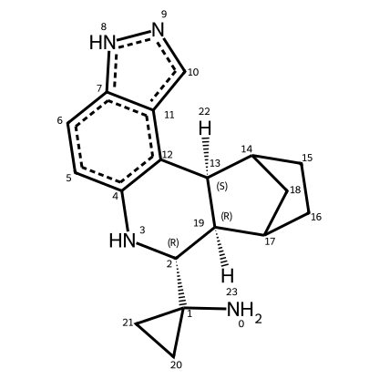 NC1([C@@H]2Nc3ccc4[nH]ncc4c3[C@H]3C4CCC(C4)[C@@H]23)CC1